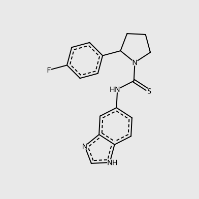 Fc1ccc(C2CCCN2C(=S)Nc2ccc3[nH]cnc3c2)cc1